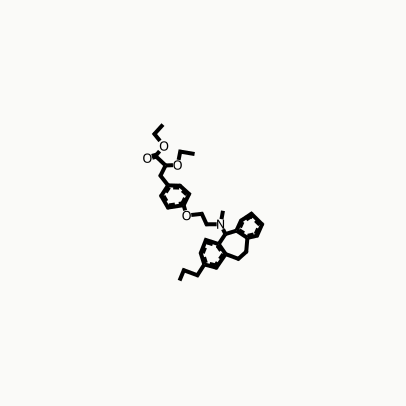 CCCc1ccc2c(c1)CCc1ccccc1C2N(C)CCOc1ccc(CC(OCC)C(=O)OCC)cc1